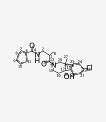 CC(CNC(=O)c1ccccc1)C(=O)N1CC[C@](O)(c2ccc(Cl)cc2)C(C)(C)C1